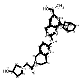 C[C@@H](O)c1cc2cnc(Nc3ccc4c(n3)CCN(C(=O)CN3CCC(O)C3)C4)nc2c(N2C3CCC2CC3)n1